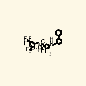 CC(C)[C@]1(C(=O)NCc2cc(C(F)(F)F)cc(C(F)(F)F)c2)CC[C@@H](NCc2cccc(-c3ccccc3)c2)C1